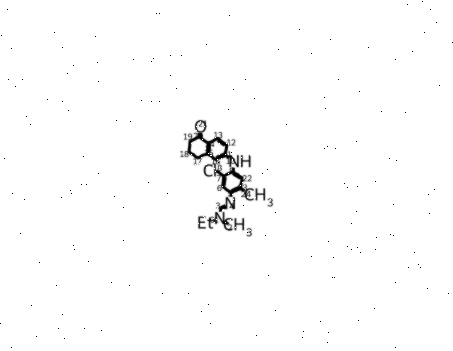 CCN(C)C=Nc1cc(Cl)c(Nc2ccc3c(c2)CCCC3=O)cc1C